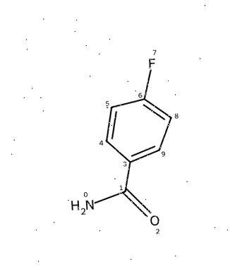 NC(=O)c1c[c]c(F)cc1